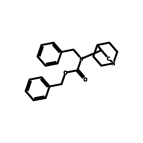 O=C(OCc1ccccc1)N(Cc1ccccc1)C1CN2CCC1CC2